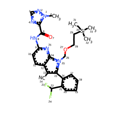 Cn1ncnc1C(=O)Nc1ccc2c(C#N)c(-c3ccccc3C(F)F)n(COCC[Si](C)(C)C)c2n1